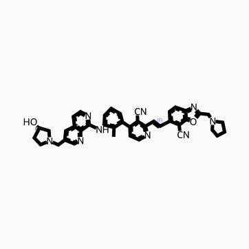 Cc1c(Nc2nccc3cc(CN4CC[C@@H](O)C4)cnc23)cccc1-c1ccnc(/C=C/c2ccc3nc(CN4CCCC4)oc3c2C#N)c1C#N